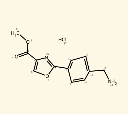 COC(=O)c1coc(-c2ccc(CN)cc2)n1.Cl